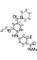 CNC(=O)c1ccc(Nc2ncc(C(=O)N3CCCCC3)cc2OCI)cc1F